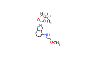 COCCNc1cccc2c1CN(C(=O)OC(C)(C)C)C2